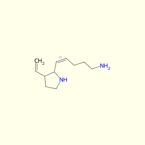 C=CC1CCNC1/C=C\CCCN